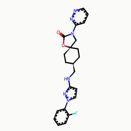 O=C1O[C@]2(CC[C@H](CNc3ccn(-c4ccccc4F)n3)CC2)CN1c1cccnn1